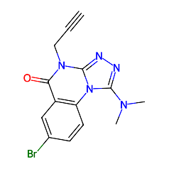 C#CCn1c(=O)c2cc(Br)ccc2n2c(N(C)C)nnc12